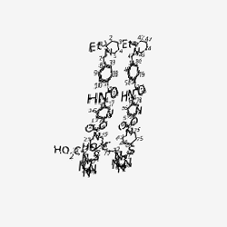 CCC1CCCCN1Cc1ccc(C(=O)Nc2ccc(OC(=O)N3CCC(Sc4nnnn4CC(=O)O)CC3)nc2)cc1.CCC1CCCCN1Cc1ccc(C(=O)Nc2ccc(OC(=O)N3CCC(Sc4nnnn4CCC(=O)O)CC3)nc2)cc1